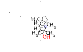 CC(O)C(C)(C)/C=C/C1(C)CCCC1(C)C